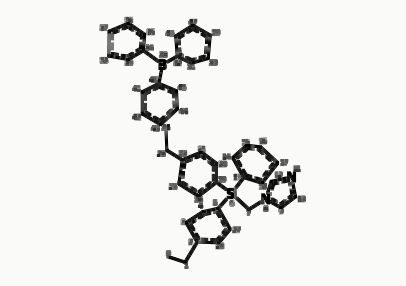 CCc1ccc([Si](Cn2ccnc2)(c2ccccc2)c2ccc(CC)cc2)cc1.c1ccc(B(c2ccccc2)c2ccccc2)cc1